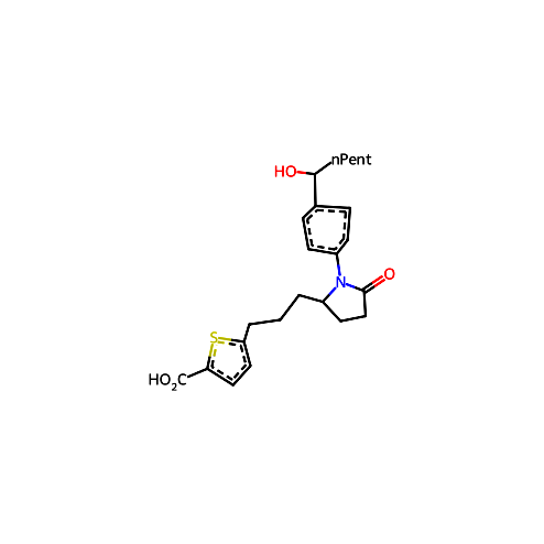 CCCCCC(O)c1ccc(N2C(=O)CCC2CCCc2ccc(C(=O)O)s2)cc1